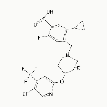 Cl.O=C(O)c1cc(C2CC2)c(CN2CCC(Oc3cc(C(F)(F)F)c(Cl)cn3)CC2)cc1F